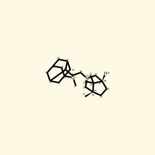 COC12CC3CC(C1)C(CCN1C[C@@H]4CC[C@](C)(C1)C4(C)C)C(C3)C2